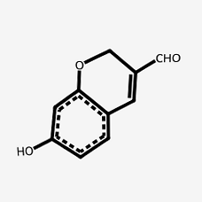 O=CC1=Cc2ccc(O)cc2OC1